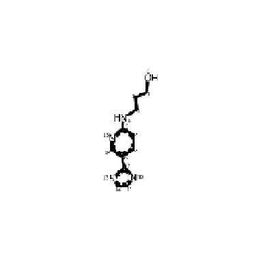 OCCCNc1[c]cc(-c2nccs2)cn1